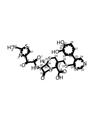 Nc1nc(C(=O)C(=O)N[C@@H]2C(=O)N3C(C(=O)O)=C(CSc4ncncc4-c4ccc(O)c(O)c4)CS[C@H]23)cs1